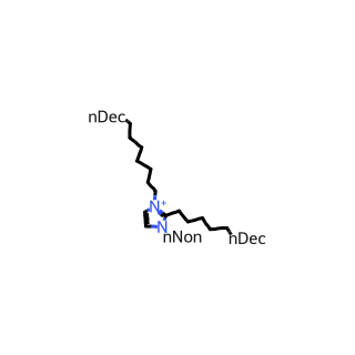 CCCCCCCCCCCCCCCCC[n+]1ccn(CCCCCCCCC)c1CCCCCCCCCCCCCCC